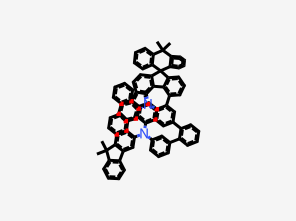 CC1(C)c2ccccc2-c2cc(N(c3cccc(-c4ccccc4-c4ccc5c(c4)-c4cccc6c4-c4c(ccc7c8ccccc8n-5c47)C64c5ccccc5C(C)(C)c5ccccc54)c3)c3cccc(-c4ccccc4)c3-c3ccccc3)ccc21